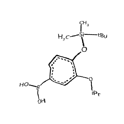 CC(C)Oc1cc(B(O)O)ccc1O[Si](C)(C)C(C)(C)C